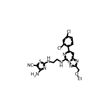 CCOCc1nc2cc(-c3ccc(Cl)cc3Cl)nc(NCCNc3nc(N)c(C#N)s3)n2n1